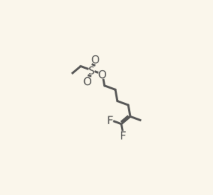 CCS(=O)(=O)OCCCCC(C)=C(F)F